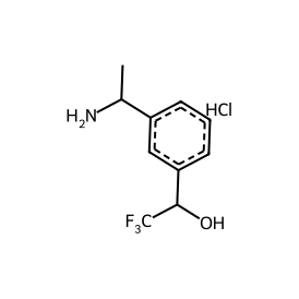 CC(N)c1cccc(C(O)C(F)(F)F)c1.Cl